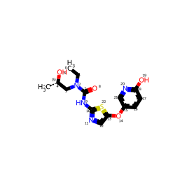 CCN(C[C@H](C)O)C(=O)Nc1ncc(Oc2ccc(O)nc2)s1